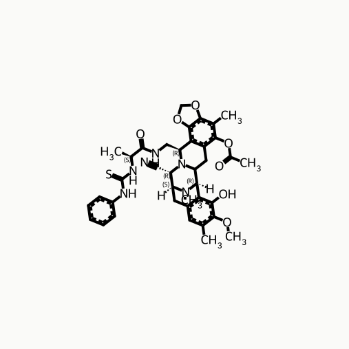 COc1c(C)cc2c(c1O)[C@@H]1C3Cc4c(OC(C)=O)c(C)c5c(c4[C@H](CNC(=O)[C@H](C)NC(=S)Nc4ccccc4)N3[C@@H](C#N)[C@H](C2)N1C)OCO5